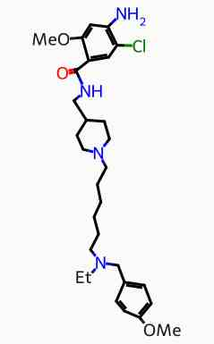 CCN(CCCCCCN1CCC(CNC(=O)c2cc(Cl)c(N)cc2OC)CC1)Cc1ccc(OC)cc1